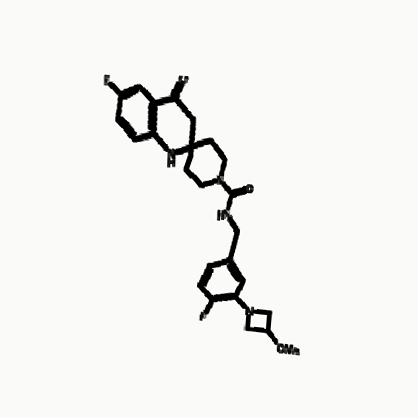 COC1CN(c2cc(CNC(=O)N3CCC4(CC3)CC(=O)c3cc(F)ccc3N4)ccc2F)C1